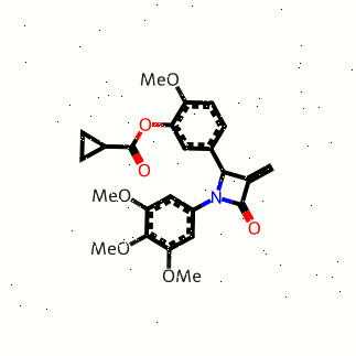 C=C1C(=O)N(c2cc(OC)c(OC)c(OC)c2)C1c1ccc(OC)c(OC(=O)C2CC2)c1